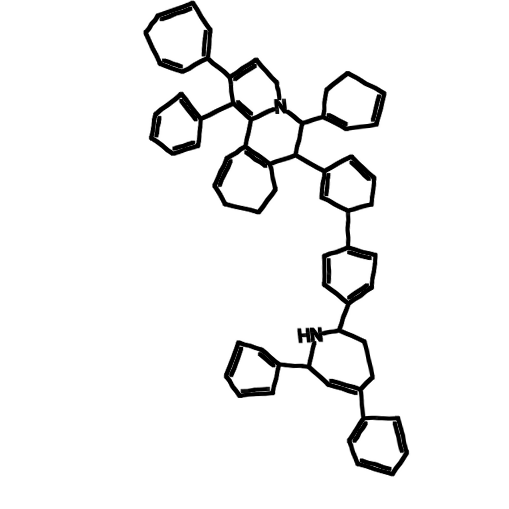 C1=CCC=CC(C2=CCN3C(=C2c2ccccc2)C2=C(CCCC=C2)C(C2=CC(c4ccc(C5CCC(c6ccccc6)=CC(c6ccccc6)N5)cc4)CC=C2)C3C2=CC=CCC2)=C1